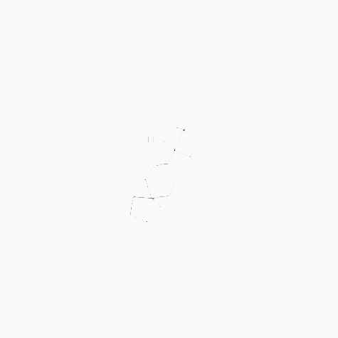 BC(B)(C1CCC2(CCCC2)CC1)C(C)(C)CC